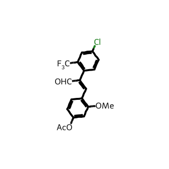 COc1cc(OC(C)=O)ccc1/C=C(\C=O)c1ccc(Cl)cc1C(F)(F)F